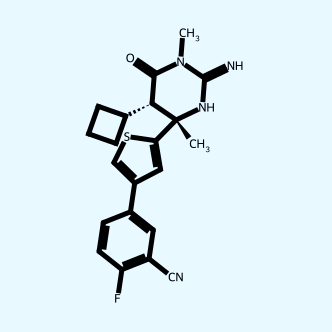 CN1C(=N)N[C@](C)(c2cc(-c3ccc(F)c(C#N)c3)cs2)[C@H](C2CCC2)C1=O